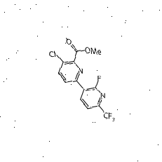 COC(=O)c1nc(-c2ccc(C(F)(F)F)nc2F)ccc1Cl